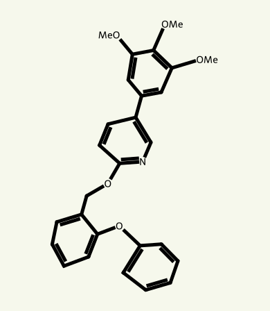 COc1cc(-c2ccc(OCc3ccccc3Oc3ccccc3)nc2)cc(OC)c1OC